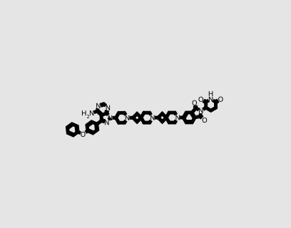 Nc1ncnc2c1c(-c1ccc(Oc3ccccc3)cc1)nn2C1CCN(C2CC3(CCN(C4CC5(CCN(c6ccc7c(c6)C(=O)N(C6CCC(=O)NC6=O)C7=O)CC5)C4)CC3)C2)CC1